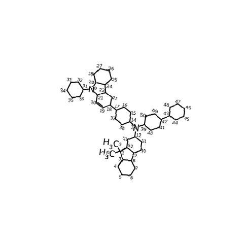 CC1(C)C2CCCCC2C2CCC(N(C3CCC(C4C=CC5C(C4)C4CCCCC4N5C4CCCCC4)CC3)C3CCC(C4CCCCC4)CC3)CC21